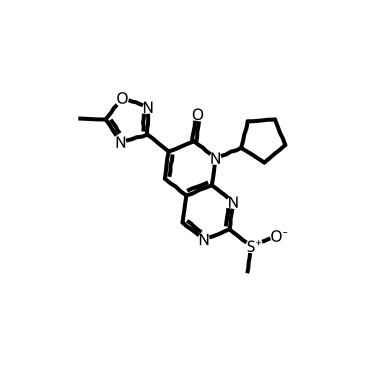 Cc1nc(-c2cc3cnc([S+](C)[O-])nc3n(C3CCCC3)c2=O)no1